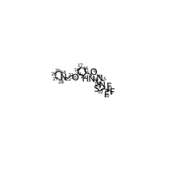 O=C(Nc1ncn2c(C(F)(F)F)csc12)c1cccc(OCCN2CCCCC2)c1